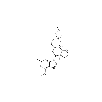 COc1nc(N)nc2c1ncn2C1OC2COP(=O)(OC(C)C)O[C@H]2C2OCC[C@@H]21